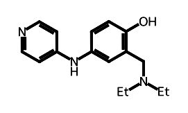 CCN(CC)Cc1cc(Nc2ccncc2)ccc1O